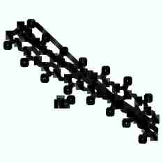 Cl.O.O=C1N2CN3C(=O)N4CN5C(=O)N6CN7C(=O)N8CN9C(=O)N%10CN%11C(=O)N%12CN%13C(=O)N%14CN%15C(=O)N%16CN1C1C2N2CN%17C(=O)N(CN%18C(=O)N(CN%19C(=O)N(CN%20C(=O)N(CN%21C(=O)N(CN%22C(=O)N(CN%23C(=O)N(CN1C2=O)C%16C%15%23)C%14C%13%22)C%12C%11%21)C%10C9%20)C8C7%19)C6C5%18)C4C3%17